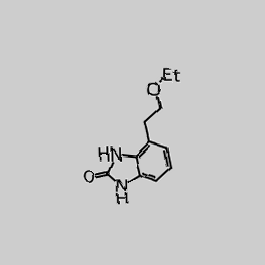 CCOCCc1cccc2[nH]c(=O)[nH]c12